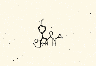 CCc1ccc(-c2c(C(=O)NC3CC3)nn3c2OCCC3)cc1